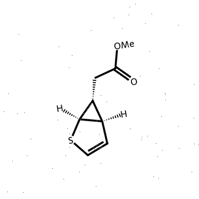 COC(=O)C[C@@H]1[C@H]2C=CS[C@H]21